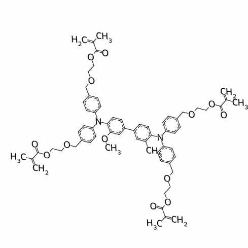 C=C(C)C(=O)OCCOCc1ccc(N(c2ccc(COCCOC(=O)C(=C)C)cc2)c2ccc(-c3ccc(N(c4ccc(COCCOC(=O)C(=C)C)cc4)c4ccc(COCCOC(=O)C(=C)C)cc4)c(OC)c3)cc2C)cc1